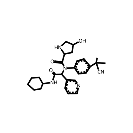 CC(C)(C#N)c1ccc(N(C(=O)C2CC(O)CN2)C(C(=O)NC2CCCCC2)c2cccnc2)cc1